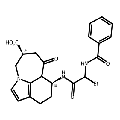 CCC(NC(=O)c1ccccc1)C(=O)N[C@H]1CCc2ccn3c2C1C(=O)C[C@H](C(=O)O)C3